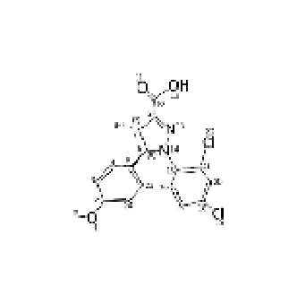 COc1ccc([C@H]2[C@H](C)C(C(=O)O)=NN2c2ccc(Cl)cc2Cl)cc1